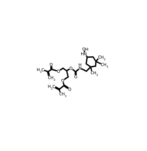 C=C(C)C(=O)OCC(COC(=O)C(=C)C)OC(=O)NCC1(C)CC(NO)CC(C)(C)C1